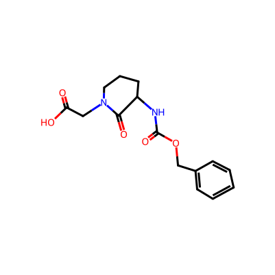 O=C(O)CN1CCCC(NC(=O)OCc2ccccc2)C1=O